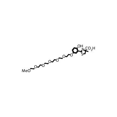 COCCOCCOCCOCCOCCOCCOc1ccc(O)c(C2=N[C@@](C)(C(=O)O)CS2)c1